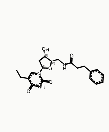 CCc1cn([C@H]2C[C@H](O)[C@@H](CNC(=O)CCc3ccccc3)O2)c(=O)[nH]c1=O